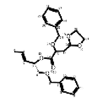 C/C=C/[C@@H](COCc1ccccc1)OC(=O)C(CC1OCCO1)OCc1ccccc1